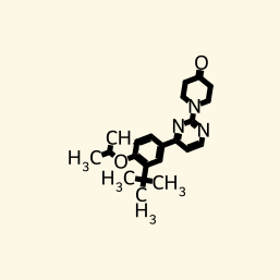 CC(C)Oc1ccc(-c2ccnc(N3CCC(=O)CC3)n2)cc1C(C)(C)C